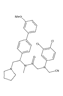 COc1cccc(-c2ccc(C(CN3CCCC3)N(C)C(=O)CN(CC#N)c3ccc(Cl)c(Cl)c3)cc2)c1